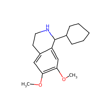 COc1cc2c(cc1OC)C(C1CCCCC1)NCC2